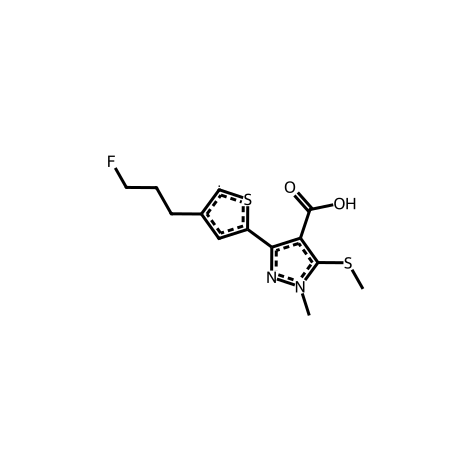 CSc1c(C(=O)O)c(-c2cc(CCCF)[c]s2)nn1C